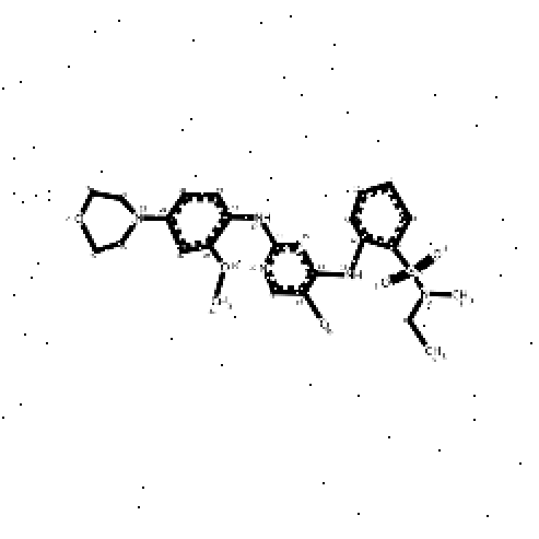 CCN(C)S(=O)(=O)c1ccccc1Nc1nc(Nc2ccc(N3CCOCC3)cc2OC)ncc1Cl